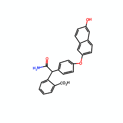 NC(=O)C(c1ccc(Oc2ccc3cc(O)ccc3c2)cc1)c1ccccc1C(=O)O